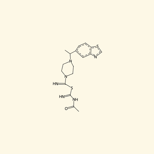 CC(=O)NC(=N)SC(=N)N1CCN(C(C)c2ccc3scnc3c2)CC1